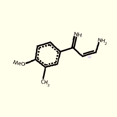 COc1ccc(C(=N)/C=C\N)cc1C